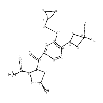 NC(=O)[C@@H]1C[C@H](O)CN1C(=O)c1ccc(N2CC(F)(F)C2)c(OCC2CC2)n1